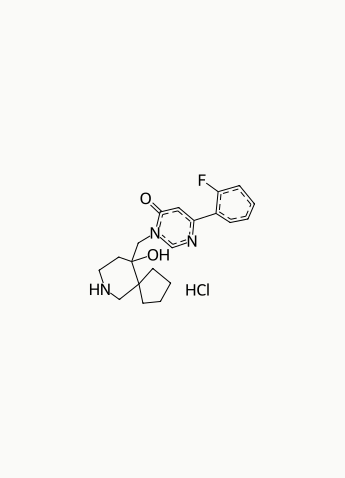 Cl.O=c1cc(-c2ccccc2F)ncn1CC1(O)CCNCC12CCCC2